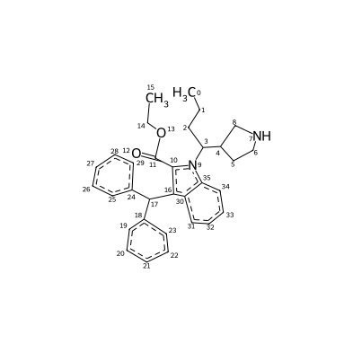 CCCC(C1CCNC1)n1c(C(=O)OCC)c(C(c2ccccc2)c2ccccc2)c2ccccc21